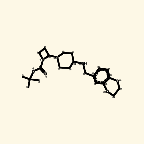 CC(C)(C)OC(=O)N1CCC1N1CCC(NCc2ccc3c(c2)OCCO3)CC1